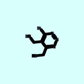 CCc1nnnc(CO)c1CO